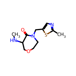 CNC1COCCN(Cc2cnc(C)s2)C1=O